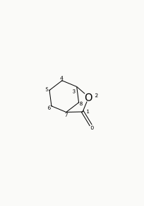 C=C1OC2CCCC1C2